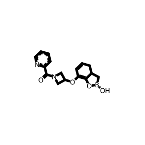 O=C(c1ccccn1)N1CC(OC2=C3OB(O)CC3CC=C2)C1